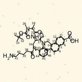 COc1ccc2cc(C(=O)O)ccc2c1CN1C(=O)[C@@H](NC(=O)C(C)N(C)C(=O)OC(C)(C)C)CN(C(=O)CCCCN)c2ccccc21